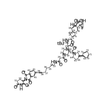 CC(C)(C)[C@H](NC(=O)c1cc2cc(C(F)(F)P(=O)(O)O)ccc2s1)C(=O)N1CCN(C(=O)CC(=O)NCCCCCC#Cc2ccc3c(c2)C(=O)N(C2CCC(=O)NC2=O)C3=O)C[C@H]1C(=O)N1CCC[C@H](c2ccccc2)C1